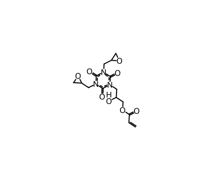 C=CC(=O)OCC(O)Cn1c(=O)n(CC2CO2)c(=O)n(CC2CO2)c1=O